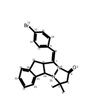 CC1(C)CC(=O)N2/C(=C/c3ccc(Br)cc3)C3Cc4ccccc4C3N21